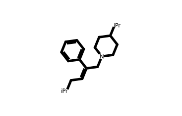 CC(C)C/C=C(/CN1CCC(C(C)C)CC1)c1ccccc1